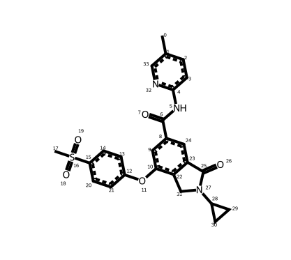 Cc1ccc(NC(=O)c2cc(Oc3ccc(S(C)(=O)=O)cc3)c3c(c2)C(=O)N(C2CC2)C3)nc1